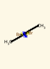 CCCCCCCCCCCCc1cc(-c2ncc(-c3cc(CCCCCCCCCCCC)c(Br)s3)c3snnc23)sc1Br